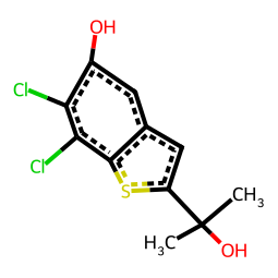 CC(C)(O)c1cc2cc(O)c(Cl)c(Cl)c2s1